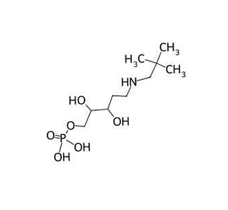 CC(C)(C)CNCCC(O)C(O)COP(=O)(O)O